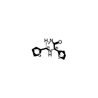 C[C@H](N[C@H](C(N)=O)c1cccs1)c1cccs1